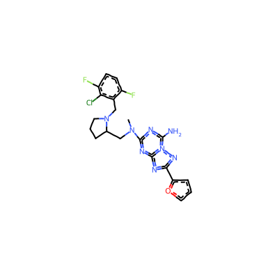 CN(CC1CCCN1Cc1c(F)ccc(F)c1Cl)c1nc(N)n2nc(-c3ccco3)nc2n1